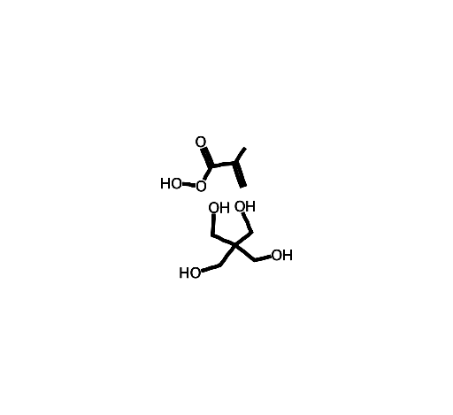 C=C(C)C(=O)OO.OCC(CO)(CO)CO